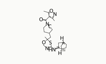 Cc1noc(C)c1C(=O)N1CCC(CC2(C)OCN=C(N[C@H]3C[C@@H]4CC[C@H]3C4)S2)CC1